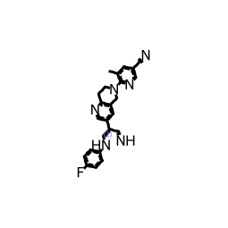 Cc1cc(C#N)cnc1N1CCc2ncc(/C(C=N)=C/Nc3ccc(F)cc3)cc2C1